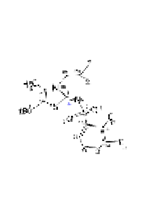 Cc1c(C(C)(C)C)s/c(=N\S(=O)(=O)c2cccc(Cl)c2Cl)n1CC1CC1